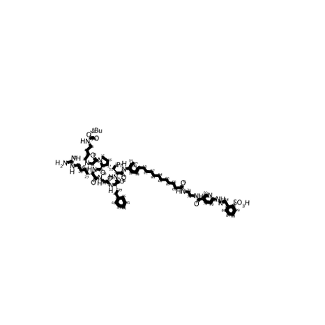 CC(=O)N(CCCCNC(=O)OC(C)(C)C)CC(=O)N1CCC[C@H]1C(=O)N[C@@H](CCCCNC(=N)N)C(=O)NCC(=O)N[C@@H](CCc1ccccc1)C(=O)N[C@@H](CC(C)C)C(=O)Nc1ccc(CCCCCCCCCCC(=O)NCCNC(=O)c2ccc(N/N=C/c3ccccc3S(=O)(=O)O)nc2)cc1